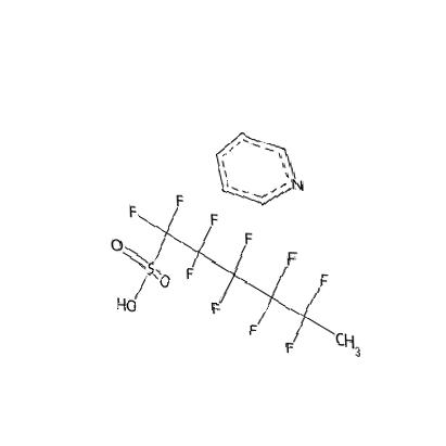 CC(F)(F)C(F)(F)C(F)(F)C(F)(F)C(F)(F)S(=O)(=O)O.c1ccncc1